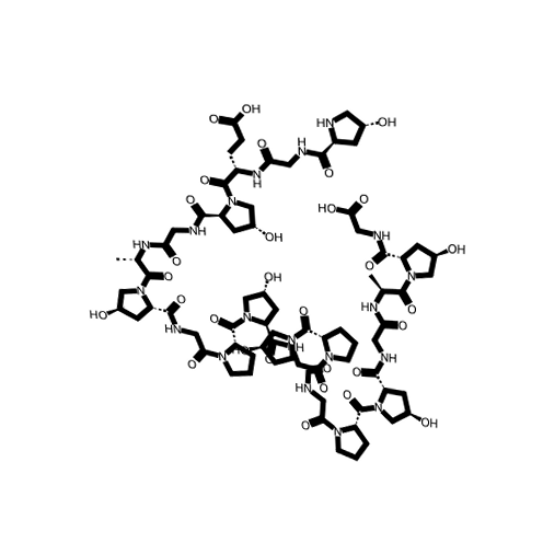 C[C@H](NC(=O)CNC(=O)[C@@H]1C[C@@H](O)CN1C(=O)[C@H](CCC(=O)O)NC(=O)CNC(=O)[C@@H]1C[C@@H](O)CN1)C(=O)N1C[C@H](O)C[C@H]1C(=O)NCC(=O)N1CCC[C@H]1C(=O)N1C[C@H](O)C[C@H]1C(=O)NCC(=O)N1CCC[C@H]1C(=O)N1C[C@H](O)C[C@H]1C(=O)NCC(=O)N1CCC[C@H]1C(=O)N1C[C@H](O)C[C@H]1C(=O)NCC(=O)N[C@@H](C)C(=O)N1C[C@H](O)C[C@H]1C(=O)NCC(=O)O